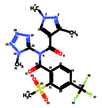 Cc1nn(C)cc1C(=O)N(C(=O)c1ccc(C(F)(F)F)cc1S(C)(=O)=O)c1nnnn1C